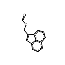 O=[C]OCC1=Cc2cccc3cccc1c23